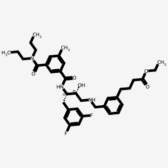 CCCN(CCC)C(=O)c1cc(C)cc(C(=O)N[C@@H](Cc2cc(F)cc(F)c2)[C@H](O)CNCc2cccc(CCCC(=O)OCC)c2)c1